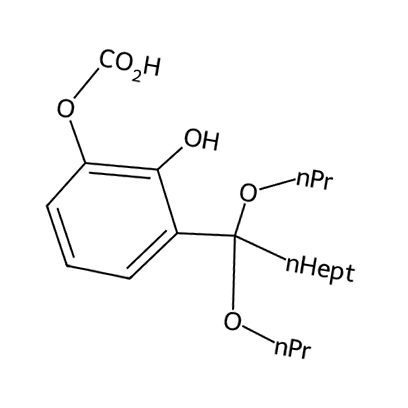 CCCCCCCC(OCCC)(OCCC)c1cccc(OC(=O)O)c1O